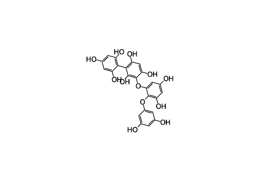 Oc1cc(O)cc(Oc2c(O)cc(O)cc2Oc2c(O)cc(O)c(-c3c(O)cc(O)cc3O)c2O)c1